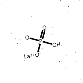 O=P([O-])([O-])O.[La+2]